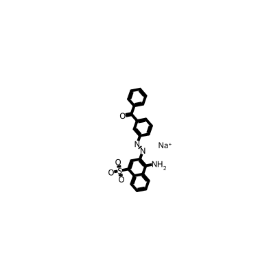 Nc1c(N=Nc2cccc(C(=O)c3ccccc3)c2)cc(S(=O)(=O)[O-])c2ccccc12.[Na+]